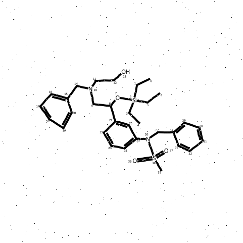 CC[Si](CC)(CC)OC(CN(CCO)Cc1ccccc1)c1cccc(N(Cc2ccccc2)S(C)(=O)=O)c1